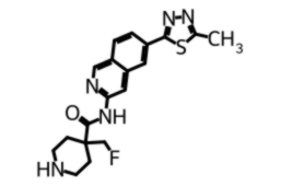 Cc1nnc(-c2ccc3cnc(NC(=O)C4(CF)CCNCC4)cc3c2)s1